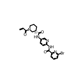 C=CC(=O)N1CCC[C@H](C(=O)Nc2ccc(NC(=O)c3cccc(Br)n3)nc2)C1